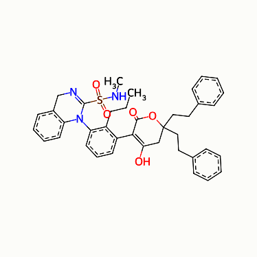 CCCc1c(C2=C(O)CC(CCc3ccccc3)(CCc3ccccc3)OC2=O)cccc1N1C(S(=O)(=O)NC)=NCc2ccccc21